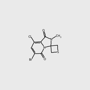 CN1C(=O)c2c(Cl)cc(Br)c(=O)n2C12CSC2